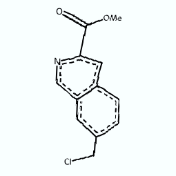 COC(=O)c1cc2ccc(CCl)cc2cn1